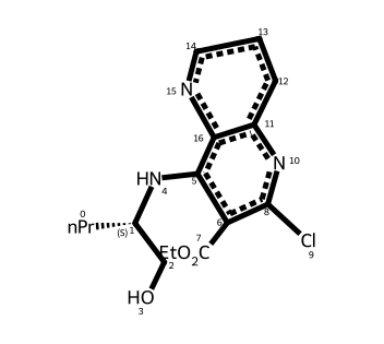 CCC[C@@H](CO)Nc1c(C(=O)OCC)c(Cl)nc2cccnc12